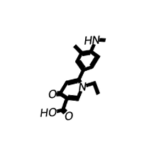 CCn1cc(C(=O)O)c(=O)cc1-c1ccc(NC)c(C)c1